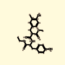 CCOC(=O)C(Cc1ccc(O)cc1)NC(=O)C(Cc1ccc(O)c(C)c1)C(=O)OC